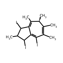 CC1=C(C)[C@H](C)C(C)=C2C(=C1I)C(I)C(C)C2I